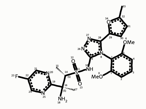 COc1cccc(OC)c1-n1c(NS(=O)(=O)[C@@H](C)[C@@](C)(N)c2ncc(F)cn2)nnc1-c1ccc(C)o1